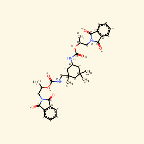 CC(CN1C(=O)c2ccccc2C1=O)OC(=O)NCC1(C)CC(NC(=O)OC(C)CN2C(=O)c3ccccc3C2=O)CC(C)(C)C1